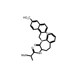 CNC(C)C(=O)NC1CCc2ccccc2N(Cc2c(OC)ccc3cc(C(=O)O)ccc23)C1=O